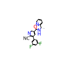 C[C@H](NC(=O)c1cnc(C#N)c(-c2cc(F)cc(F)c2)c1)c1ccccn1